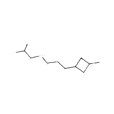 CC1CC(CCCNCC(F)F)C1